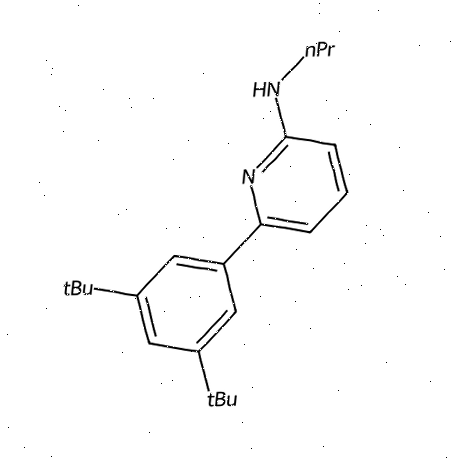 CCCNc1cccc(-c2cc(C(C)(C)C)cc(C(C)(C)C)c2)n1